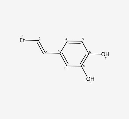 CCC=Cc1ccc(O)c(O)c1